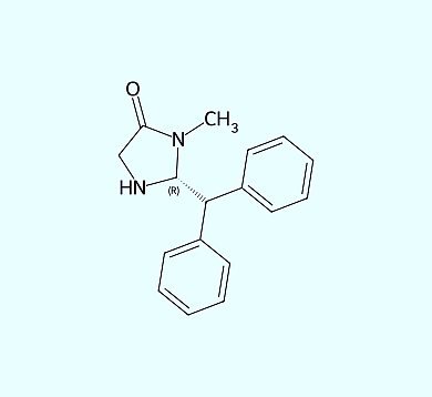 CN1C(=O)CN[C@H]1C(c1ccccc1)c1ccccc1